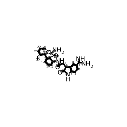 N=C(N)c1ccc2c(c1)C(CC(=O)Nc1cccc(-c3ccccc3F)c1S(N)(=O)=O)C(=O)N2